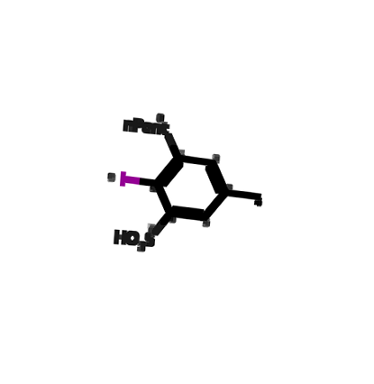 CCCCCc1cc(C)cc(S(=O)(=O)O)c1I